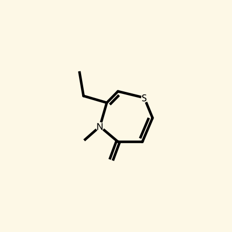 C=C1C=CSC=C(CC)N1C